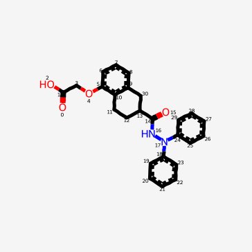 O=C(O)COc1cccc2c1CCC(C(=O)NN(c1ccccc1)c1ccccc1)C2